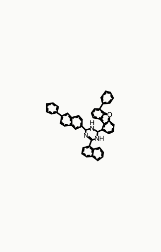 c1ccc(-c2ccc3cc(C4N=C(c5cccc6ccccc56)NC(c5cccc6oc7c(-c8ccccc8)cccc7c56)N4)ccc3c2)cc1